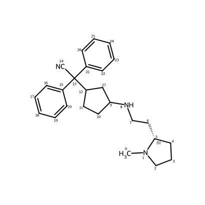 CN1CCC[C@H]1CCNC1CCC(C(C#N)(c2ccccc2)c2ccccc2)C1